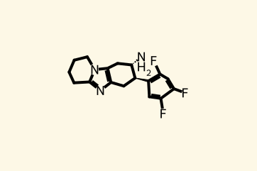 N[C@H]1Cc2c(nc3n2CCCC3)C[C@@H]1c1cc(F)c(F)cc1F